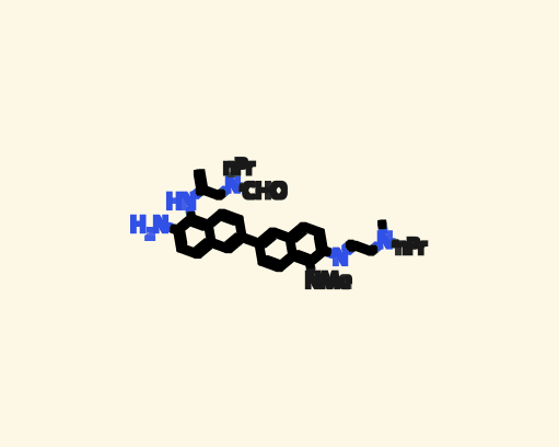 C=C(CN(C=O)CCC)Nc1c(N)ccc2cc(-c3ccc4c(NC)c(/N=C/CN(C)CCC)ccc4c3)ccc12